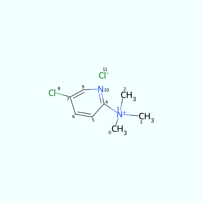 C[N+](C)(C)c1ccc(Cl)cn1.[Cl-]